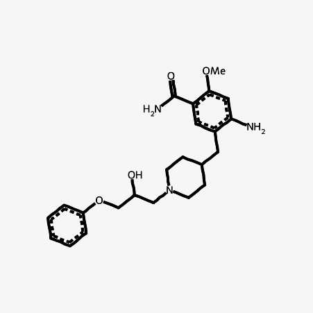 COc1cc(N)c(CC2CCN(CC(O)COc3ccccc3)CC2)cc1C(N)=O